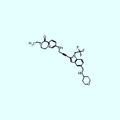 CCN1CC[n+]2cc(NCC#Cc3cc4cc(CNC5CCOCC5)ccc4n3CC(F)(F)F)ccc2C1=O